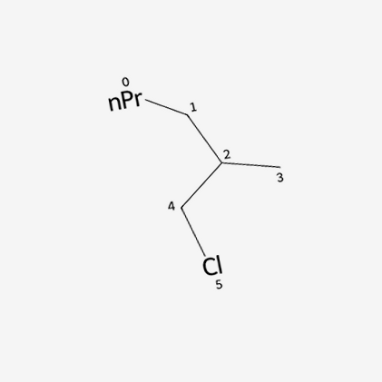 CCCCC(C)CCl